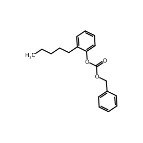 CCCCCc1ccccc1OC(=O)OCc1ccccc1